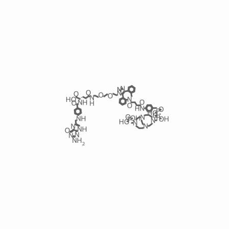 Nc1nc2[nH]cc(CNc3ccc(C(=O)N[C@@H](CCC(=O)NCCOCCOCCn4nnc5c4-c4ccccc4N(C(=O)CCC(=O)Nc4ccc(CP(=O)(O)CP(=O)(O)CN6CCCN7CCN(CCCN(CP(=O)(O)O)CC7)CC6)cc4)Cc4ccccc4-5)C(=O)O)cc3)nc-2c(=O)n1